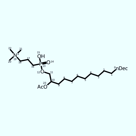 CCCCCCCCCCCCCCCCCCCC(COP(=O)(O)CCC[N+](C)(C)C)OC(C)=O